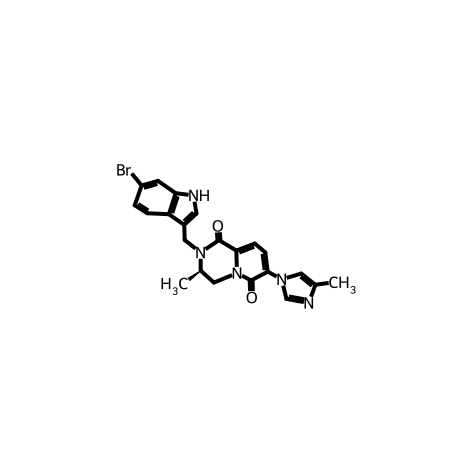 Cc1cn(-c2ccc3n(c2=O)C[C@@H](C)N(Cc2c[nH]c4cc(Br)ccc24)C3=O)cn1